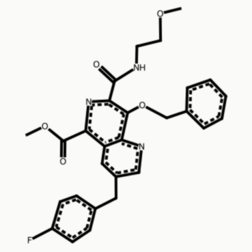 COCCNC(=O)c1nc(C(=O)OC)c2cc(Cc3ccc(F)cc3)cnc2c1OCc1ccccc1